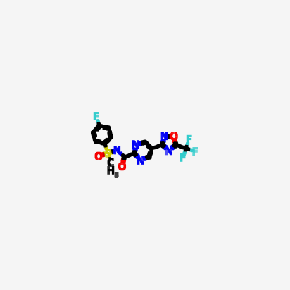 CS(=O)(=NC(=O)c1ncc(-c2noc(C(F)(F)F)n2)cn1)c1ccc(F)cc1